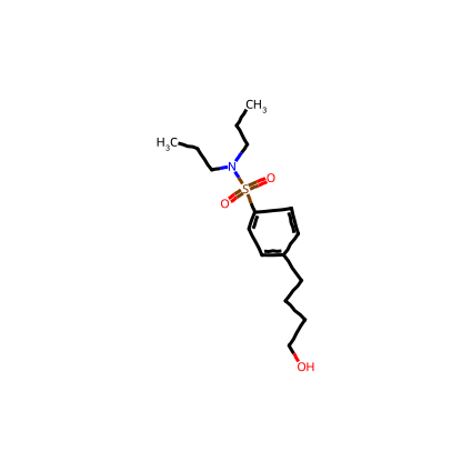 CCCN(CCC)S(=O)(=O)c1ccc(CCCCO)cc1